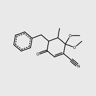 COC1(OC)C(C#N)=CC(=O)C(Cc2ccccc2)C1C